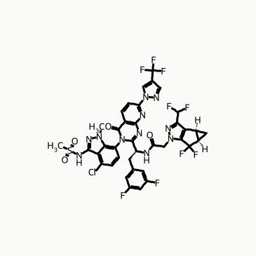 Cn1nc(NS(C)(=O)=O)c2c(Cl)ccc(-n3c([C@H](Cc4cc(F)cc(F)c4)NC(=O)Cn4nc(C(F)F)c5c4C(F)(F)[C@@H]4C[C@H]54)nc4nc(-n5cc(C(F)(F)F)cn5)ccc4c3=O)c21